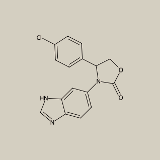 O=C1OCC(c2ccc(Cl)cc2)N1c1ccc2nc[nH]c2c1